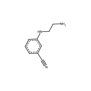 N#Cc1cc[c]c(NCCN)c1